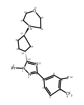 CC(C)n1nc(-c2ccc(C(F)(F)F)c(F)c2)nc1[C@@H]1CC[C@@H](N2CCOCC2)C1